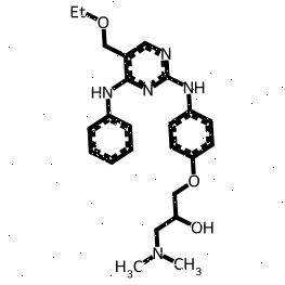 CCOCc1cnc(Nc2ccc(OCC(O)CN(C)C)cc2)nc1Nc1ccccc1